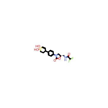 O=C(NC[C@H]1CN(c2ccc(C3C=CS(O)(O)CC3)cc2)C(=O)O1)C(F)F